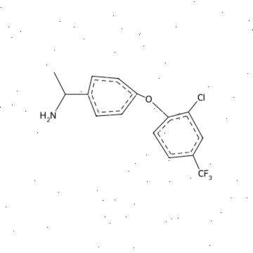 CC(N)c1ccc(Oc2ccc(C(F)(F)F)cc2Cl)cc1